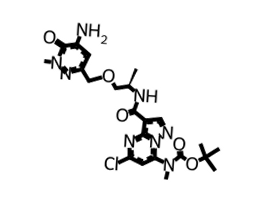 C[C@H](COCc1cc(N)c(=O)n(C)n1)NC(=O)c1cnn2c(N(C)C(=O)OC(C)(C)C)cc(Cl)nc12